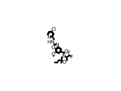 CCCC1(C)CN(C(=O)c2cc(OC)c3oc(NCc4cc(Cl)ccn4)nc3c2)C(C(F)F)CO1